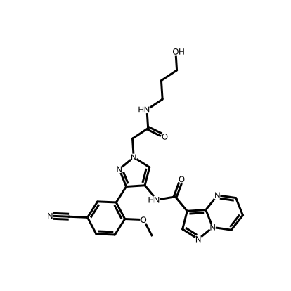 COc1ccc(C#N)cc1-c1nn(CC(=O)NCCCO)cc1NC(=O)c1cnn2cccnc12